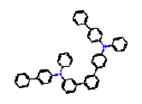 C1=CCC(N(c2ccc(-c3ccccc3)cc2)c2cccc(-c3cccc(-c4ccc(N(c5ccccc5)c5ccc(-c6ccccc6)cc5)cc4)c3)c2)C=C1